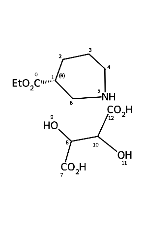 CCOC(=O)[C@@H]1CCCNC1.O=C(O)C(O)C(O)C(=O)O